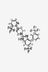 FC(F)(F)c1cccc(-c2cc(C(F)(F)F)cc3[nH]c(N4CCN(c5ncccc5C(F)(F)F)CC4)nc23)c1